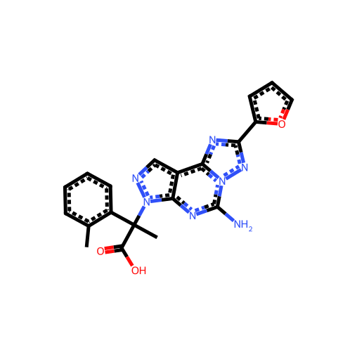 Cc1ccccc1C(C)(C(=O)O)n1ncc2c1nc(N)n1nc(-c3ccco3)nc21